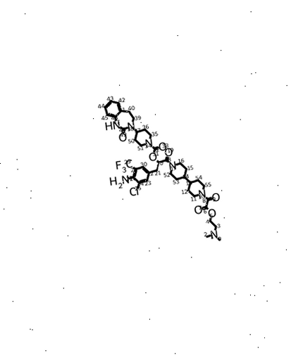 CN(C)CCOC(=O)C(=O)N1CCC(C2CCN(C(=O)[C@@H](Cc3cc(Cl)c(N)c(C(F)(F)F)c3)OC(=O)N3CCC(N4CCc5ccccc5NC4=O)CC3)CC2)CC1